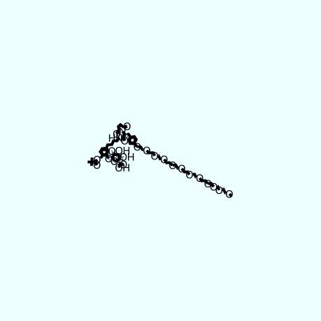 COCCOCOCOCCOCCOCCOCCOCCOCCOCCOCCOc1ccc(C[C@@H](C(=O)NCCCCc2ccc(COC(=O)C(C)(C)C)c(O[C@@H]3O[C@H](C(=O)O)[C@@H](O)[C@H](O)[C@H]3O)c2)N2C(=O)C=CC2=O)cc1